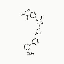 COc1cccc(-c2cccc(CNCCC3CN(c4ccc5c(c4)NC(=O)CS5)C(=O)O3)c2)c1